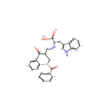 O=C(SCC(CN[C@H](Cc1c[nH]c2ccccc12)C(=O)O)C(=O)c1ccccc1)c1ccccc1